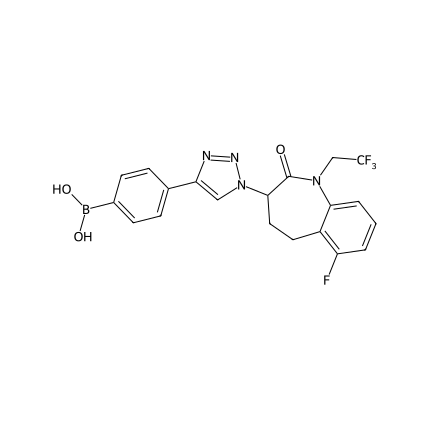 O=C1C(n2cc(-c3ccc(B(O)O)cc3)nn2)CCc2c(F)cccc2N1CC(F)(F)F